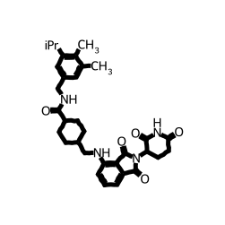 Cc1cc(CNC(=O)C2CCC(CNc3cccc4c3C(=O)N(C3CCC(=O)NC3=O)C4=O)CC2)cc(C(C)C)c1C